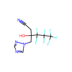 N#CCC(O)(Cn1cncn1)C(F)(F)C(F)(F)C(F)(F)F